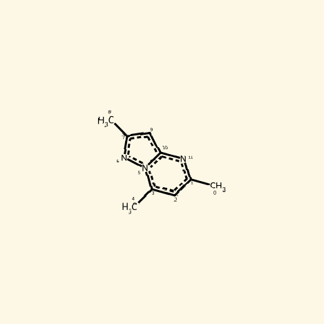 Cc1[c]c(C)n2nc(C)cc2n1